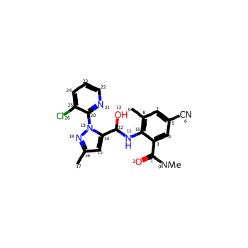 CNC(=O)c1cc(C#N)cc(C)c1NC(O)c1cc(C)nn1-c1ncccc1Cl